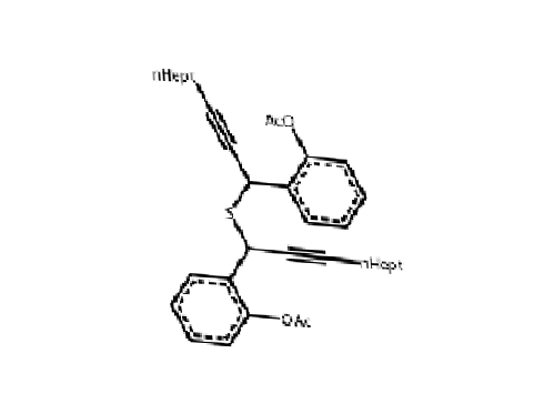 CCCCCCCC#CC(SC(C#CCCCCCCC)c1ccccc1OC(C)=O)c1ccccc1OC(C)=O